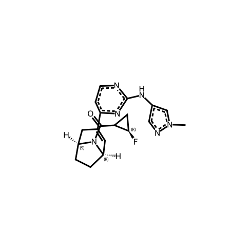 Cn1cc(Nc2nccc(C3=C[C@H]4CC[C@@H](C3)N4C(=O)C3C[C@H]3F)n2)cn1